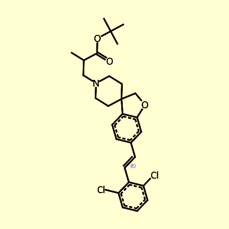 CC(CN1CCC2(CC1)COc1cc(/C=C/c3c(Cl)cccc3Cl)ccc12)C(=O)OC(C)(C)C